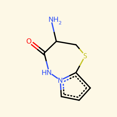 NC1CSc2cccn2NC1=O